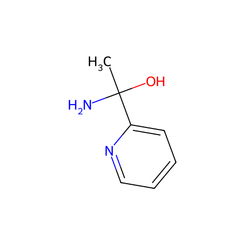 CC(N)(O)c1ccccn1